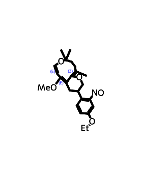 CCOc1ccc(C2COC3=C(/C)CCC(C)(C)O/C=C/C(OC)=C\3C2)c(N=O)c1